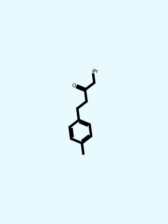 Cc1ccc(CCC(=O)CC(C)C)cc1